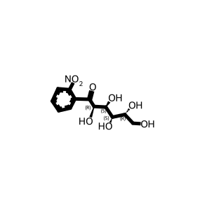 O=C(c1ccccc1[N+](=O)[O-])[C@H](O)[C@@H](O)[C@@H](O)[C@H](O)CO